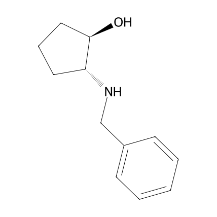 O[C@@H]1CCC[C@H]1NCc1ccccc1